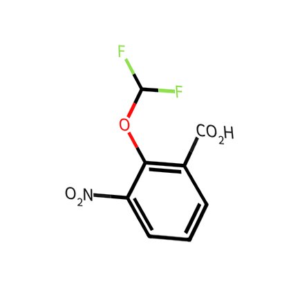 O=C(O)c1cccc([N+](=O)[O-])c1OC(F)F